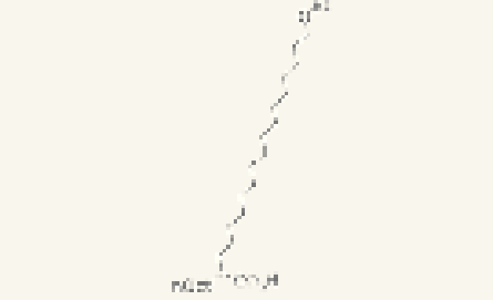 CCCCCCCCC(CCCCCCCCCCCCCCCCOCC)C(=O)O